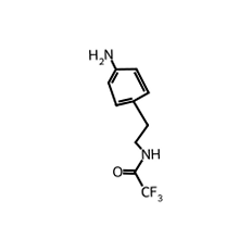 Nc1ccc(CCNC(=O)C(F)(F)F)cc1